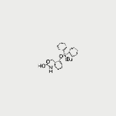 CC(C)(C)[Si](Oc1cccc2c1COC(O)N2)(c1ccccc1)c1ccccc1